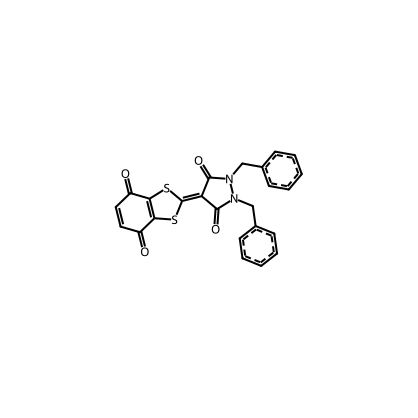 O=C1C=CC(=O)C2=C1SC(=C1C(=O)N(Cc3ccccc3)N(Cc3ccccc3)C1=O)S2